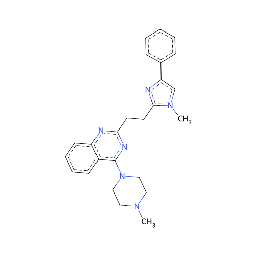 CN1CCN(c2nc(CCc3nc(-c4ccccc4)cn3C)nc3ccccc23)CC1